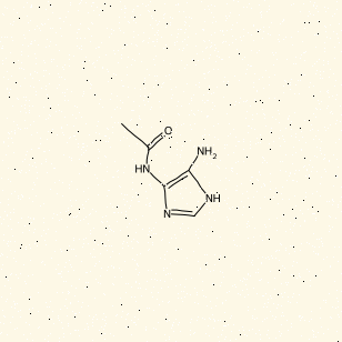 CC(=O)Nc1nc[nH]c1N